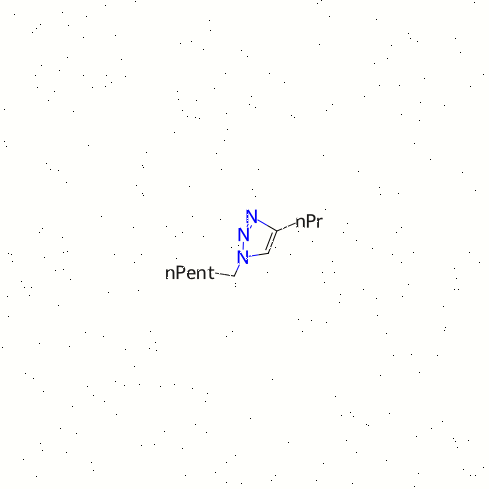 CCCCCCn1cc(CCC)nn1